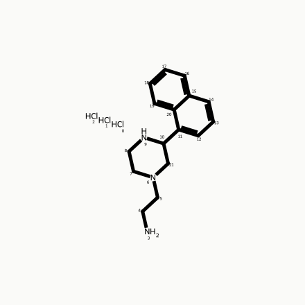 Cl.Cl.Cl.NCCN1CCNC(c2cccc3ccccc23)C1